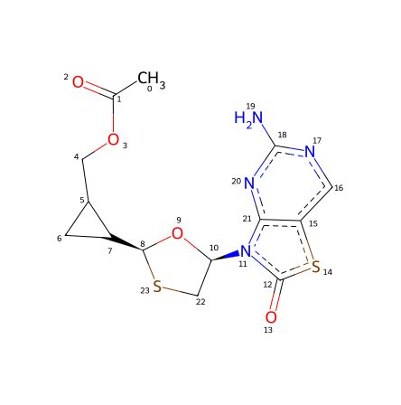 CC(=O)OCC1CC1[C@H]1O[C@@H](n2c(=O)sc3cnc(N)nc32)CS1